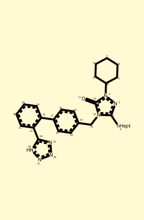 CCCCCCCc1nn(C2CCCCC2)c(=O)n1Cc1ccc(-c2ccccc2-c2nnn[nH]2)cc1